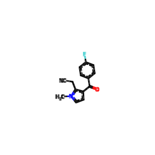 Cn1ccc(C(=O)c2ccc(F)cc2)c1CC#N